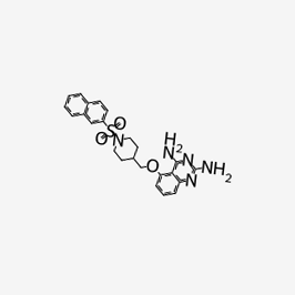 Nc1nc(N)c2c(OCC3CCN(S(=O)(=O)c4ccc5ccccc5c4)CC3)cccc2n1